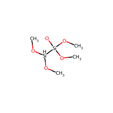 CO[SiH](OC)[Si]([O])(OC)OC